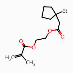 C=C(C)C(=O)OCCOC(=O)CC1(CC)CCCC1